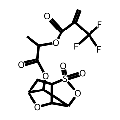 C=C(C(=O)OC(C)C(=O)OC1C2CC3C(O2)C1OS3(=O)=O)C(F)(F)F